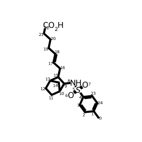 Cc1ccc(S(=O)(=O)NC2C3CCC(C3)C2CC=CCCCC(=O)O)cc1